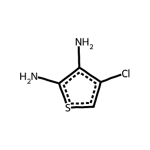 Nc1scc(Cl)c1N